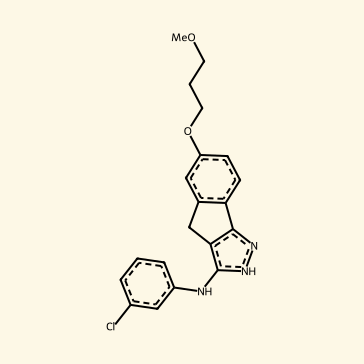 COCCCOc1ccc2c(c1)Cc1c-2n[nH]c1Nc1cccc(Cl)c1